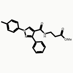 COC(=O)CCNC(=O)c1cn(-c2ccc(C)cc2)nc1-c1ccccc1